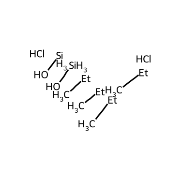 CCC.CCC.CCC.CCC.Cl.Cl.O[SiH3].O[SiH3]